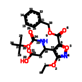 CCOc1noc(C(=O)OCc2ccccc2)c1C(CC(=O)O)NC(=O)OC(C)(C)C